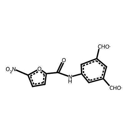 O=[C]c1cc([C]=O)cc(NC(=O)c2ccc([N+](=O)[O-])o2)c1